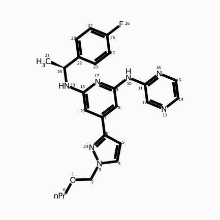 CCCOCn1ccc(-c2cc(Nc3cnccn3)nc(N[C@@H](C)c3ccc(F)cc3)c2)n1